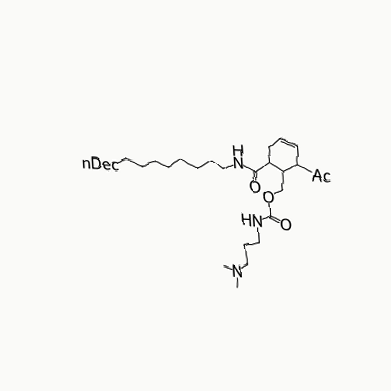 CCCCCCCCCCCCCCCCCCNC(=O)C1CC=CC(C(C)=O)C1COC(=O)NCCCN(C)C